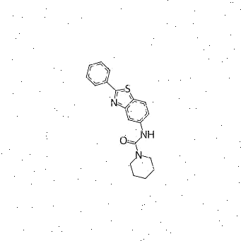 O=C(Nc1ccc2sc(-c3ccccc3)nc2c1)N1CCCCC1